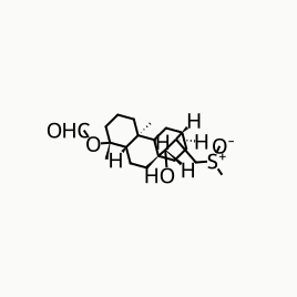 C[S+]([O-])C[C@@H]1[C@H]2CC[C@@]3(CC[C@H]4[C@@](C)(CCC[C@@]4(C)OC=O)[C@@H]3C2)[C@H]1O